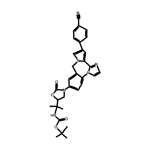 CC(C)(C)OC(=O)NC(C)(C)C1CN(c2ccc3c(c2)Cn2cc(-c4ccc(C#N)cc4)cc2-c2nccn2-3)C(=O)O1